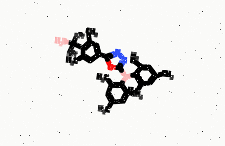 BC(CCC)(CCC)c1c(C)cc(-c2nnc(B(c3c(C)cc(C)cc3C)c3c(C)cc(C)cc3C)o2)cc1C